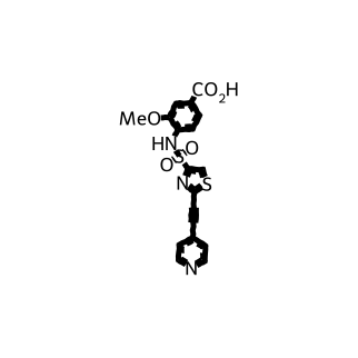 COc1cc(C(=O)O)ccc1NS(=O)(=O)c1csc(C#Cc2ccncc2)n1